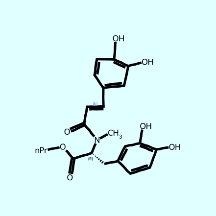 CCCOC(=O)[C@@H](Cc1ccc(O)c(O)c1)N(C)C(=O)/C=C/c1ccc(O)c(O)c1